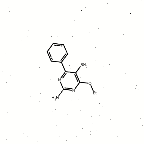 Bc1c(OCC)nc(N)nc1-c1ccccc1